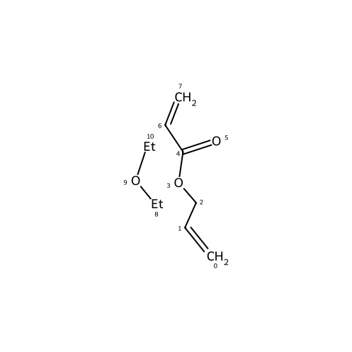 C=CCOC(=O)C=C.CCOCC